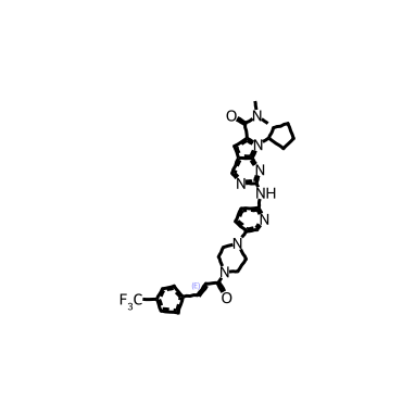 CN(C)C(=O)c1cc2cnc(Nc3ccc(N4CCN(C(=O)/C=C/c5ccc(C(F)(F)F)cc5)CC4)cn3)nc2n1C1CCCC1